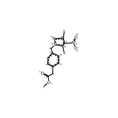 COC(=O)Cc1ccc(Cn2nc(C)c([N+](=O)[O-])c2C)cc1